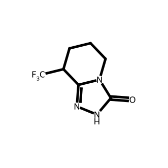 O=c1[nH]nc2n1CCCC2C(F)(F)F